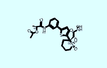 CC(=O)O[C@@H](C)C(=O)Nc1cccc(-c2ccc([C@@]3(CC(=O)NO)CCCCS3(=O)=O)s2)c1